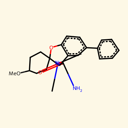 COC1CCC2(CC1)Oc1ccc(-c3ccccc3)cc1C21N=C(N)N(C)C1=O